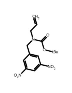 C=CCN(Cc1cc([N+](=O)[O-])cc([N+](=O)[O-])c1)C(=O)OC(C)(C)C